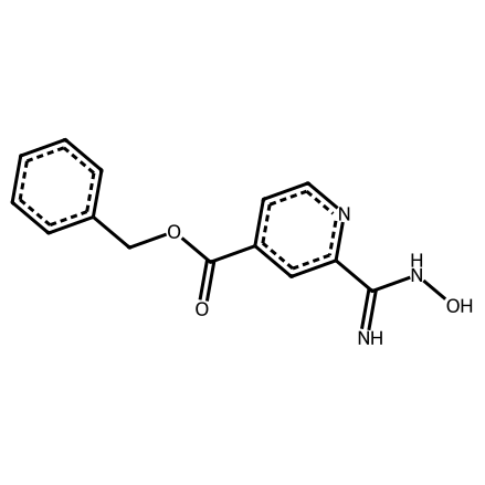 N=C(NO)c1cc(C(=O)OCc2ccccc2)ccn1